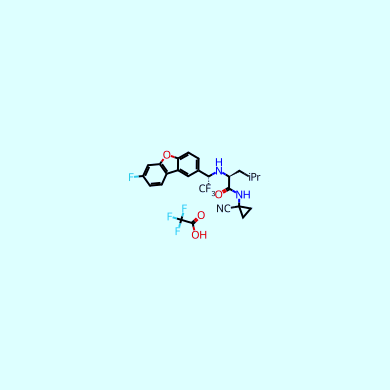 CC(C)C[C@H](N[C@@H](c1ccc2oc3cc(F)ccc3c2c1)C(F)(F)F)C(=O)NC1(C#N)CC1.O=C(O)C(F)(F)F